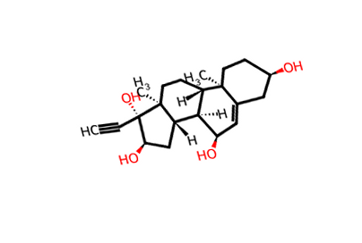 C#C[C@]1(O)[C@H](O)C[C@H]2[C@@H]3[C@H](O)C=C4C[C@H](O)CC[C@]4(C)[C@H]3CC[C@@]21C